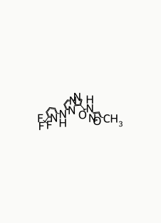 Cc1cc(NC(=O)c2cnn3ccc(Nc4cccc(C(F)(F)F)n4)nc23)no1